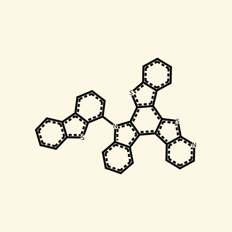 c1ccc2c(c1)sc1c(-n3c4ccccc4c4c5c6cccnc6sc5c5c6ccccc6sc5c43)cccc12